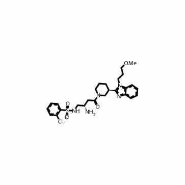 COCCCn1c([C@@H]2CCCN(C(=O)C[C@H](N)CNS(=O)(=O)c3ccccc3Cl)C2)nc2ccccc21